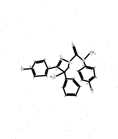 CN(C(=O)N1CC(C)(c2ccccc2)C(c2ccc(Cl)cc2)=N1)c1ccc(Br)cc1